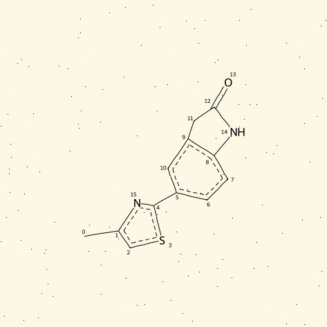 Cc1csc(-c2ccc3c(c2)CC(=O)N3)n1